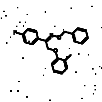 Cc1ccccc1OCC(=NOCc1ccccc1)c1ccc(F)cc1